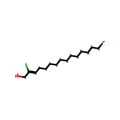 OCC(F)=CCCCCCCCCCCCCI